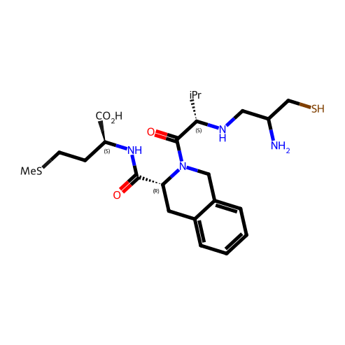 CSCC[C@H](NC(=O)[C@H]1Cc2ccccc2CN1C(=O)[C@@H](NCC(N)CS)C(C)C)C(=O)O